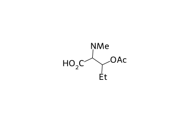 CCC(OC(C)=O)C(NC)C(=O)O